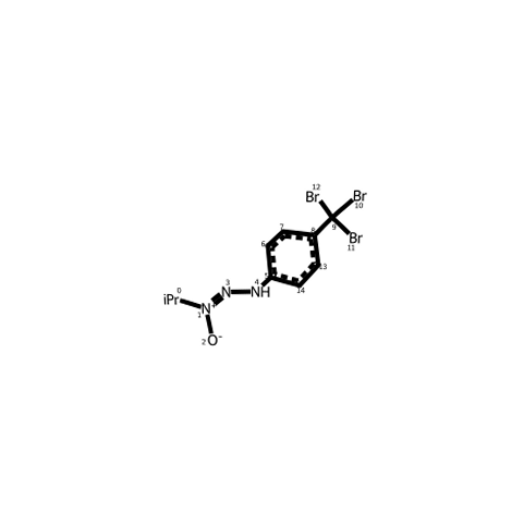 CC(C)/[N+]([O-])=N/Nc1ccc(C(Br)(Br)Br)cc1